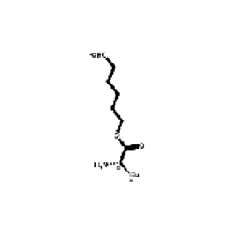 CC[C@H](C)[C@H](N)C(=O)OCCCCC[C]=O